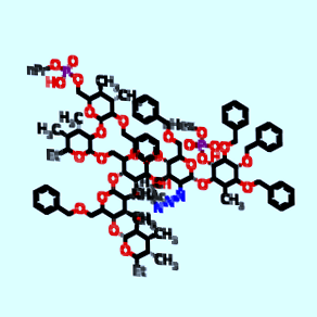 CCCCCCOP(=O)(O)O[C@@H]1C(OCc2ccccc2)[C@H](OCc2ccccc2)C(OCc2ccccc2)C(C)[C@H]1O[C@H]1OC(COCc2ccccc2)[C@@H](O[C@H]2OC(CO[C@H]3OC(CC)[C@@H](C)[C@H](C)C3O[C@H]3OC(COP(=O)(O)OCCC)[C@@H](C)[C@H](C)C3OCc3ccccc3)[C@@H](O[C@@H]3OC(COCc4ccccc4)[C@H](O[C@H]4OC(CC)[C@@H](C)[C@H](C)C4C)[C@H](C)C3NC(C)=O)[C@H](C)C2O)[C@H](C)C1N=[N+]=[N-]